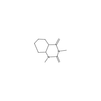 C=C1C2CCCCC2N(C)C(=C)N1C